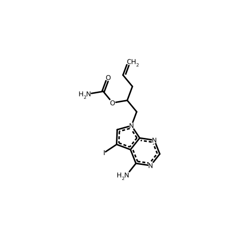 C=CCC(Cn1cc(I)c2c(N)ncnc21)OC(N)=O